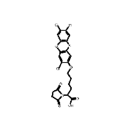 O=C(O)C(CCCCOc1cc2c(cc1Cl)Oc1cc(Cl)c(Cl)cc1S2)N1C(=O)CCC1=O